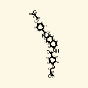 O=C(Nc1ccc2cc3oc(-c4ccc(OCC5CO5)cc4)nc3cc2c1)c1ccc(OCC2CO2)cc1